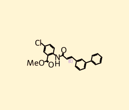 COC(=O)c1cc(Cl)ccc1NC(=O)/C=C/c1cccc(-c2ccccc2)c1